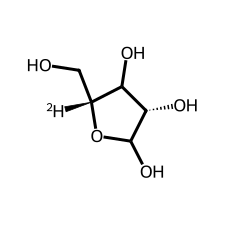 [2H][C@]1(CO)OC(O)[C@@H](O)C1O